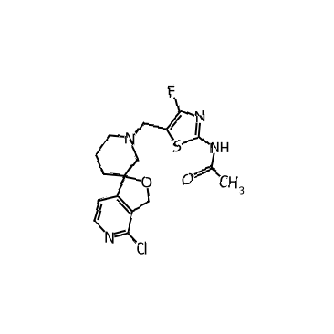 CC(=O)Nc1nc(F)c(CN2CCCC3(C2)OCc2c3ccnc2Cl)s1